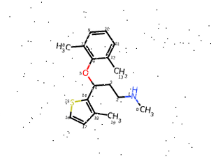 CNCCC(Oc1c(C)cccc1C)c1sccc1C